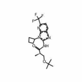 C[C@H](COC(C)(C)C)C(=O)Nc1nc2ccc(C(F)(F)F)nc2n1C1CCC1